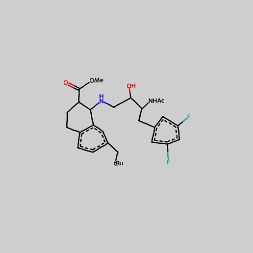 COC(=O)C1CCc2ccc(CC(C)(C)C)cc2C1NCC(O)C(Cc1cc(F)cc(F)c1)NC(C)=O